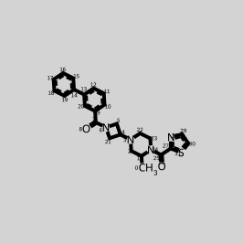 CC1CN(C2CN(C(=O)c3cccc(-c4ccccc4)c3)C2)CCN1C(=O)c1nccs1